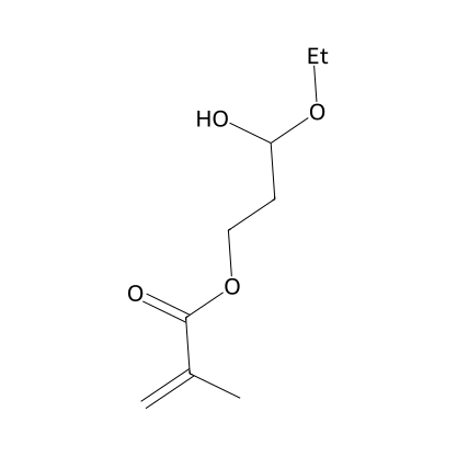 C=C(C)C(=O)OCCC(O)OCC